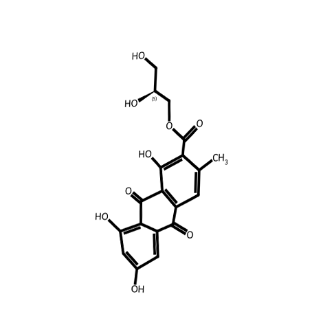 Cc1cc2c(c(O)c1C(=O)OC[C@@H](O)CO)C(=O)c1c(O)cc(O)cc1C2=O